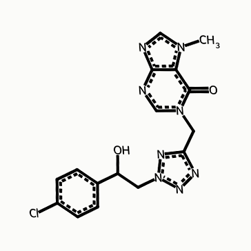 Cn1cnc2ncn(Cc3nnn(CC(O)c4ccc(Cl)cc4)n3)c(=O)c21